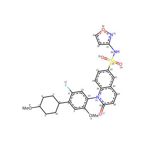 COc1cc(C2CCC(OC)CC2)c(F)cc1-n1c(=O)ccc2cc(S(=O)(=O)Nc3ccon3)ccc21